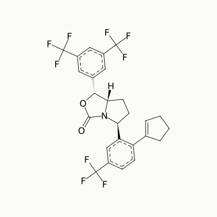 O=C1O[C@H](c2cc(C(F)(F)F)cc(C(F)(F)F)c2)[C@@H]2CC[C@@H](c3cc(C(F)(F)F)ccc3C3=CCCC3)N12